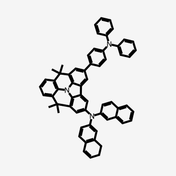 CC1(C)c2cccc3c2-n2c4c1cc(-c1ccc(N(c5ccccc5)c5ccccc5)cc1)cc4c1cc(N(c4ccc5c(c4)CCC=C5)c4ccc5ccccc5c4)cc(c12)C3(C)C